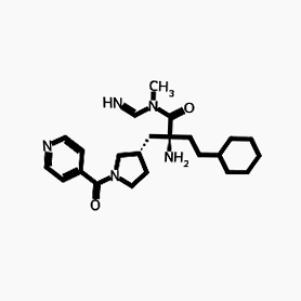 CN(C=N)C(=O)[C@](N)(CCC1CCCCC1)C[C@@H]1CCN(C(=O)c2ccncc2)C1